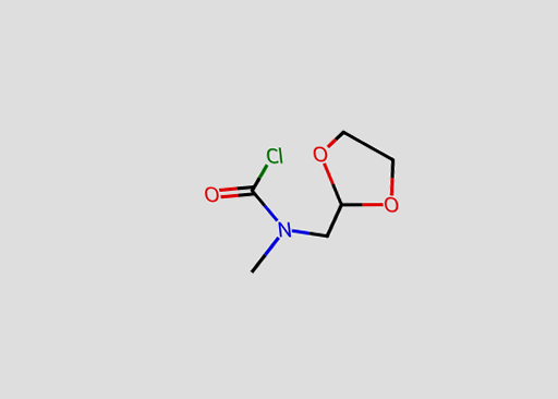 CN(CC1OCCO1)C(=O)Cl